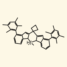 Cc1cc(C)c(C)c(-c2cccc3c2C=C2[CH]3[Hf]([CH3])([CH3])[CH]3C(=Cc4c(-c5c(C)c(C)cc(C)c5C)cccc43)C23CCC3)c1C